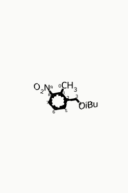 Cc1c(COCC(C)C)cccc1[N+](=O)[O-]